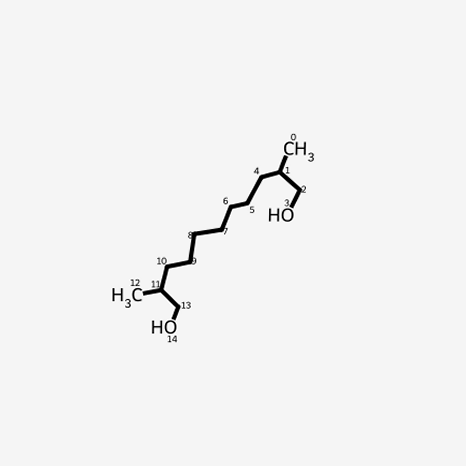 CC(CO)CCCCCCCC(C)CO